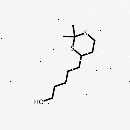 CC1(C)SCCC(CCCCCO)S1